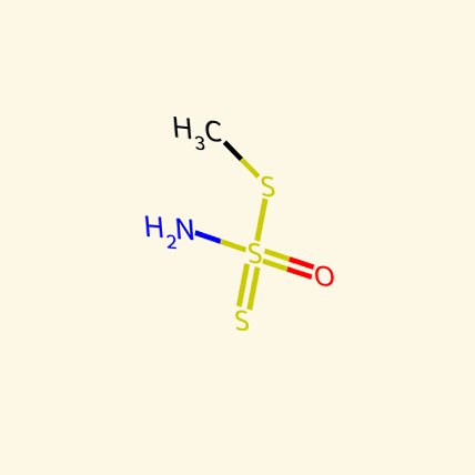 CSS(N)(=O)=S